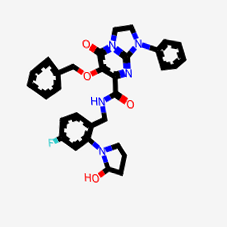 O=C(NCc1ccc(F)cc1N1CCCC1O)c1nc2n(c(=O)c1OCc1ccccc1)CCN2c1ccccc1